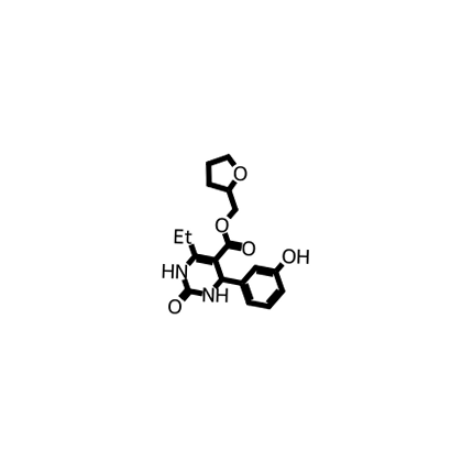 CCC1=C(C(=O)OCC2CCCO2)C(c2cccc(O)c2)NC(=O)N1